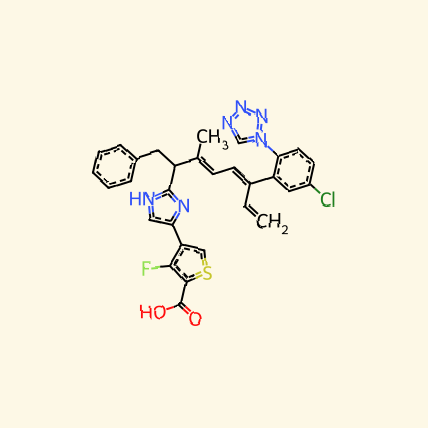 C=C/C(=C\C=C(/C)C(Cc1ccccc1)c1nc(-c2csc(C(=O)O)c2F)c[nH]1)c1cc(Cl)ccc1-n1cnnn1